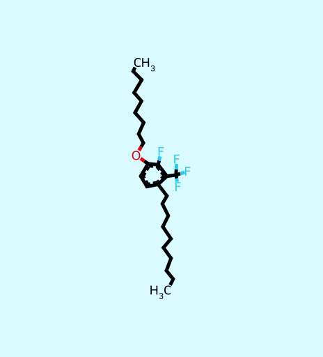 CCCCCCCCCCc1ccc(OCCCCCCCCC)c(F)c1C(F)(F)F